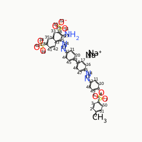 Cc1ccc(S(=O)(=O)Oc2ccc(N=Nc3ccc(-c4ccc(N=Nc5c(N)c(S(=O)(=O)[O-])cc6cc(S(=O)(=O)[O-])ccc56)cc4)cc3)cc2)cc1.[Na+].[Na+]